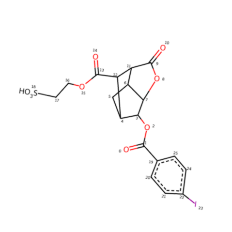 O=C(OC1C2CC3C1OC(=O)C3C2C(=O)OCCS(=O)(=O)O)c1ccc(I)cc1